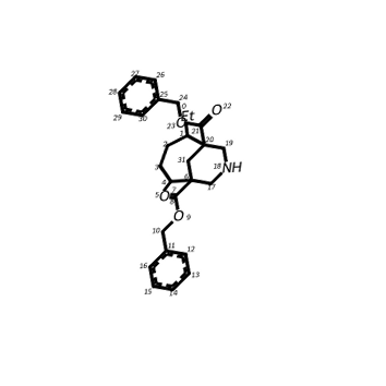 CCC1CCC(C)C2(C(=O)OCc3ccccc3)CNCC1(C(=O)OCc1ccccc1)C2